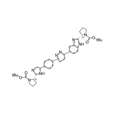 CC(C)(C)OC(=O)N1CCC[C@H]1c1ncc(-c2ccc(-c3ccc(-c4ccc5[nH]c([C@@H]6CCCN6C(=O)OC(C)(C)C)nc5c4)nn3)cc2)[nH]1